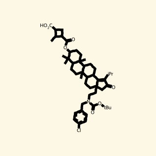 CC(C)C1=C2C3CCC4C(C)(CCC5C(C)(C)C(OC(=O)C6CC(C(=O)O)C6C)CCC54C)C3CCC2(CCN(Cc2ccc(Cl)cc2)C(=O)OC(C)(C)C)CC1=O